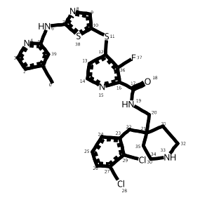 Cc1ccnc(Nc2ncc(Sc3ccnc(C(=O)NCC4(Cc5cccc(Cl)c5Cl)CCNCC4)c3F)s2)c1